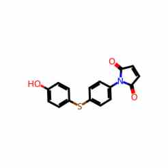 O=C1C=CC(=O)N1c1ccc(Sc2ccc(O)cc2)cc1